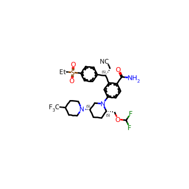 CCS(=O)(=O)c1ccc([C@H](CC#N)c2cc(N3C[C@@H](N4CCC(C(F)(F)F)CC4)CC[C@H]3COC(F)F)ccc2C(N)=O)cc1